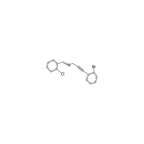 Clc1ccccc1C=NCC#Cc1ccccc1Br